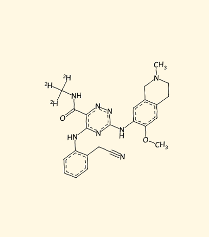 [2H]C([2H])([2H])NC(=O)c1nnc(Nc2cc3c(cc2OC)CCN(C)C3)nc1Nc1ccccc1CC#N